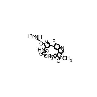 CC(C)NCCOc1ncc(-c2cc3c4c(cnc3cc2F)N(C)C(=O)C42CC(F)C2)cc1NS(C)(=O)=O